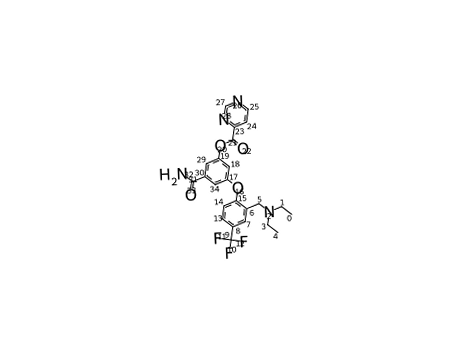 CCN(CC)Cc1cc(C(F)(F)F)ccc1Oc1cc(OC(=O)c2ccncn2)cc(C(N)=O)c1